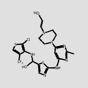 Cc1nc(Nc2ncc(C(O)Nc3c(C(F)(F)F)csc3Cl)s2)cc(N2CCN(CCO)CC2)n1